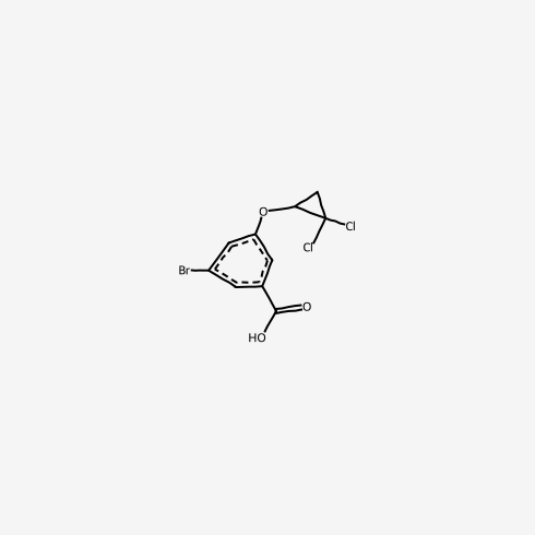 O=C(O)c1cc(Br)cc(OC2CC2(Cl)Cl)c1